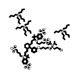 CC(C)N(C(C)C)P(CCC#N)OCCCCOc1cccc(C2=C(/C=C/C3=[N+](CCCCS(=O)(=O)[O-])c4ccc(S(=O)(=O)[O-])cc4C3(C)C)CCC/C2=C\C=C2\N(CCCCS(=O)(=O)[O-])c3ccc(S(=O)(=O)[O-])cc3C2(C)C)c1.CCCC[N+](CCCC)(CCCC)CCCC.CCCC[N+](CCCC)(CCCC)CCCC.CCCC[N+](CCCC)(CCCC)CCCC